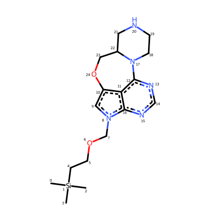 C[Si](C)(C)CCOCn1cc2c3c(ncnc31)N1CCNCC1CO2